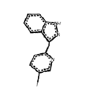 Ic1ccc(-c2n[nH]c3ccccc23)nc1